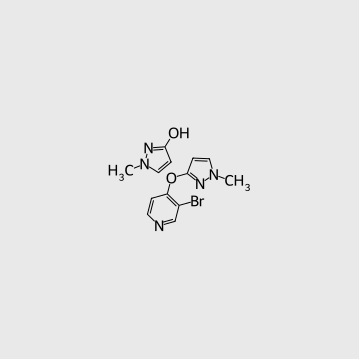 Cn1ccc(O)n1.Cn1ccc(Oc2ccncc2Br)n1